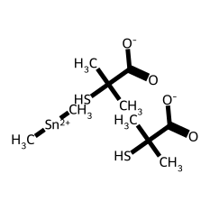 CC(C)(S)C(=O)[O-].CC(C)(S)C(=O)[O-].[CH3][Sn+2][CH3]